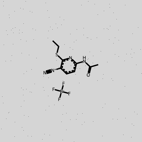 CCSc1nc(NC(C)=O)ccc1[N+]#N.F[B-](F)(F)F